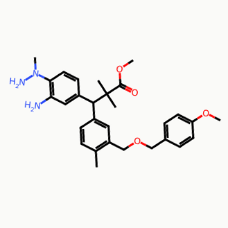 COC(=O)C(C)(C)C(c1ccc(N(C)N)c(N)c1)c1ccc(C)c(COCc2ccc(OC)cc2)c1